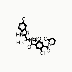 CCOC(=O)C1CCCN1C(=O)c1ccc(C(=O)NC(C)c2nc3cc(Cl)ccc3[nH]2)cc1Cl